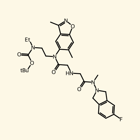 CCN(CCN(C(=O)CNCC(=O)N(C)N1Cc2ccc(F)cc2C1)c1cc2c(C)noc2cc1C)C(=O)OC(C)(C)C